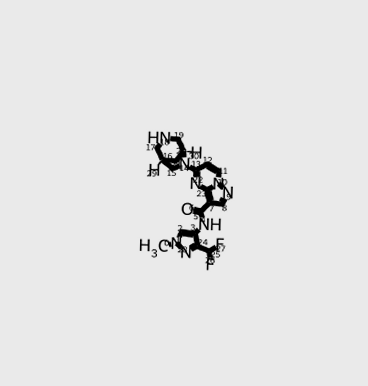 Cn1cc(NC(=O)c2cnn3ccc(N4C[C@H]5CNC[C@@H]4C5)nc23)c(C(F)F)n1